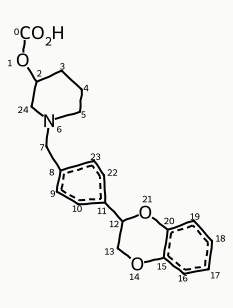 O=C(O)OC1CCCN(Cc2ccc(C3COc4ccccc4O3)cc2)C1